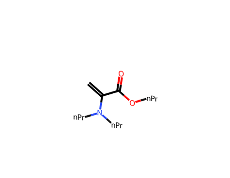 C=C(C(=O)OCCC)N(CCC)CCC